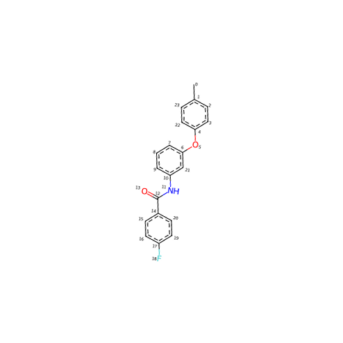 Cc1ccc(Oc2cccc(NC(=O)c3ccc(F)cc3)c2)cc1